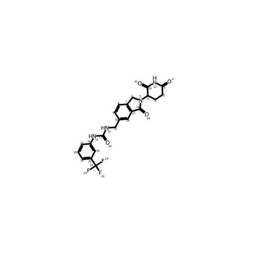 O=C1CCC(N2Cc3ccc(CNC(=O)Nc4cccc(C(F)(F)F)c4)cc3C2=O)C(=O)N1